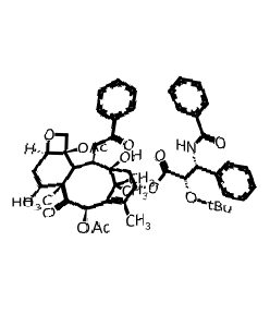 CC(=O)O[C@H]1C(=O)[C@@]2(C)C([C@@H](CC(=O)c3ccccc3)[C@]3(O)C[C@H](OC(=O)[C@@H](OC(C)(C)C)[C@H](NC(=O)c4ccccc4)c4ccccc4)C(C)=C1C3(C)C)[C@@]1(OC(C)=O)CO[C@@H]1C[C@@H]2O